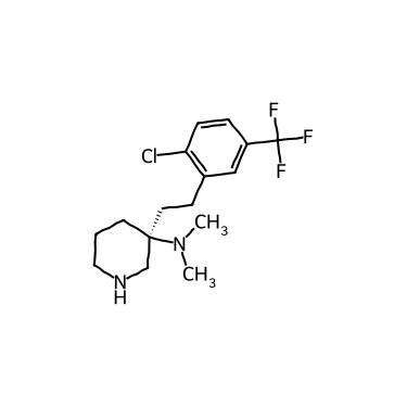 CN(C)[C@]1(CCc2cc(C(F)(F)F)ccc2Cl)CCCNC1